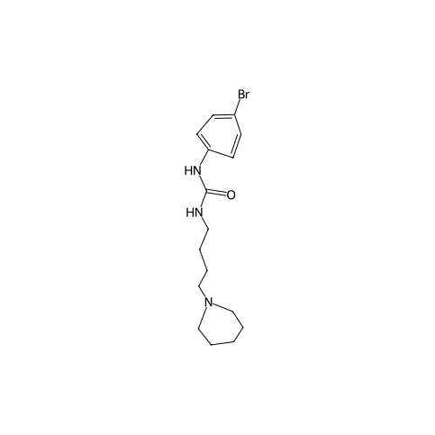 O=C(NCCCCN1CCCCC1)Nc1ccc(Br)cc1